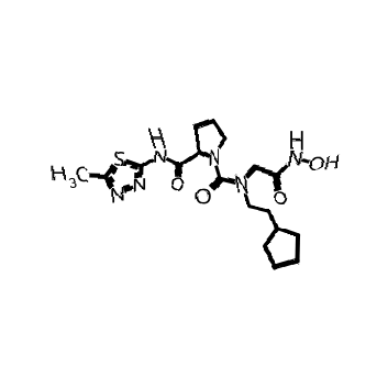 Cc1nnc(NC(=O)C2CCCN2C(=O)N(CCC2CCCC2)CC(=O)NO)s1